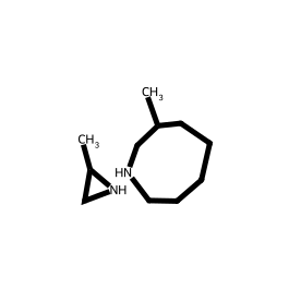 CC1CCCCCNC1.CC1CN1